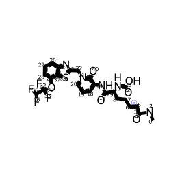 CN(C)C(=O)/C=C/CCC(NC(=O)O)C(=O)Nc1cccn(Cc2nc3cccc(OC(F)(F)C(F)F)c3s2)c1=O